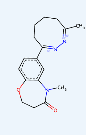 C/C1=N/N=C(/c2ccc3c(c2)N(C)C(=O)CCO3)CCCC1